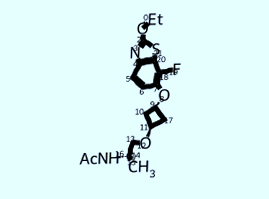 CCOc1nc2ccc(O[C@H]3C[C@H](OC[C@H](C)NC(C)=O)C3)c(F)c2s1